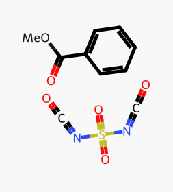 COC(=O)c1ccccc1.O=C=NS(=O)(=O)N=C=O